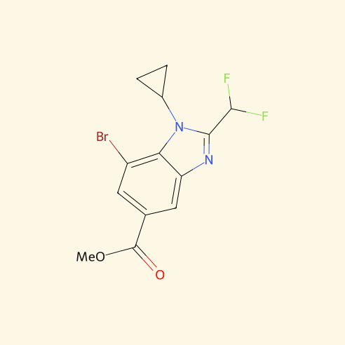 COC(=O)c1cc(Br)c2c(c1)nc(C(F)F)n2C1CC1